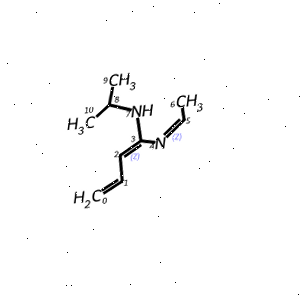 C=C/C=C(\N=C/C)NC(C)C